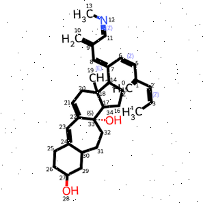 C=C(/C=C\C)/C=C\C(=C/C(=C)/C=N\C)C1CCC2C1(C)CC=C1C=C3CCC(O)CC3CC[C@@]12O